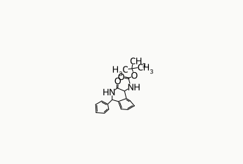 CC(C)(C)OC(=O)NC1C(=O)NC(c2ccccc2)c2ccccc21